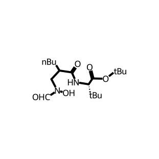 CCCCC(CN(O)C=O)C(=O)N[C@H](C(=O)OC(C)(C)C)C(C)(C)C